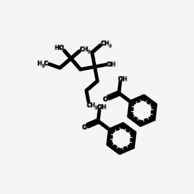 CCCC(O)(CC)CC(C)(O)CC.O=C(O)c1ccccc1.O=C(O)c1ccccc1